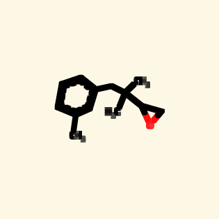 Cc1cccc(CC(C)(C)C2CO2)c1